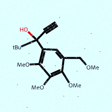 C#CC(O)(c1cc(COC)c(OC)c(OC)c1OC)C(C)(C)C